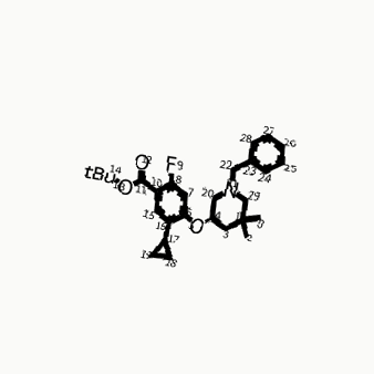 CC1(C)C[C@@H](Oc2cc(F)c(C(=O)OC(C)(C)C)cc2C2CC2)CN(Cc2ccccc2)C1